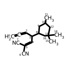 C=C=CC(C=C(C#N)C#N)C1CC(C)CC(C)(C)C1